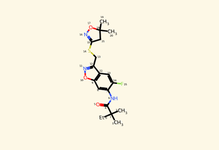 CCC(C)(C)C(=O)Nc1cc2onc(CSC3=NOC(C)(C)C3)c2cc1F